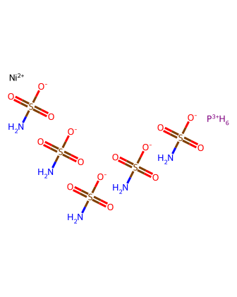 NS(=O)(=O)[O-].NS(=O)(=O)[O-].NS(=O)(=O)[O-].NS(=O)(=O)[O-].NS(=O)(=O)[O-].[Ni+2].[PH6+3]